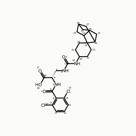 O=C(NC[C@H](NC(=O)c1c(Cl)cccc1Cl)C(=O)O)NC1CCC2(CC1)C1CC3CC(C1)C2C3